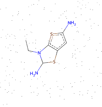 CCN1c2sc(N)cc2SC1N